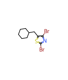 Brc1nc(Br)c(CC2CCCCC2)s1